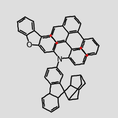 C1=CC2c3ccc(N(c4ccc5c(c4)oc4ccccc45)c4ccccc4-c4cccc5cccc(-c6ccccc6)c45)cc3C3(C4CC5CC(C4)C3C5)C2C=C1